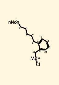 CCCCCCCCCCCCCCc1ccccc1[CH2][Mg][Cl]